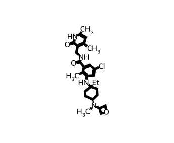 CC[C@]1(Nc2cc(Cl)cc(C(=O)NCc3c(C)cc(C)[nH]c3=O)c2C)CC[C@H](N(C)C2COC2)CC1